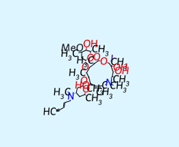 C#C/C=C/CN(C)[C@@H]1C[C@H](O[C@@H]2[C@@H](C)[C@H](O[C@@H]3C[C@@](C)(OC)[C@@H](O)[C@H](C)O3)[C@@H](C)C(=O)O[C@H](I)[C@@](C)(O)[C@H](O)[C@@H](C)N(C)C[C@H](C)C[C@@]2(C)O)O[C@H](C)C1